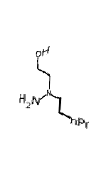 CCCCCN(N)CCO